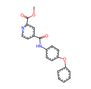 COC(=O)c1cc(C(=O)Nc2ccc(Oc3ccccc3)cc2)ccn1